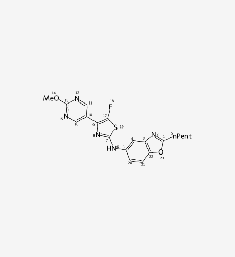 CCCCCc1nc2cc(Nc3nc(-c4cnc(OC)nc4)c(F)s3)ccc2o1